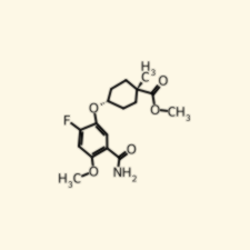 COc1cc(F)c(O[C@H]2CC[C@@](C)(C(=O)OC)CC2)cc1C(N)=O